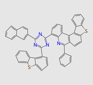 c1ccc(-c2nc3c(-c4nc(-c5ccc6ccccc6c5)nc(-c5cccc6sc7ccccc7c56)n4)cccc3c3c2ccc2sc4ccccc4c23)cc1